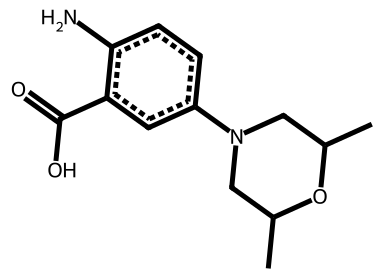 CC1CN(c2ccc(N)c(C(=O)O)c2)CC(C)O1